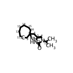 CC(C)n1cc(CC2(N)CCCCCCCC2)[nH]c1=O